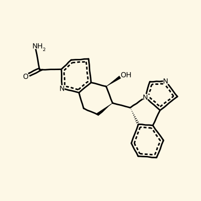 NC(=O)c1ccc2c(n1)CC[C@H]([C@H]1c3ccccc3-c3cncn31)[C@@H]2O